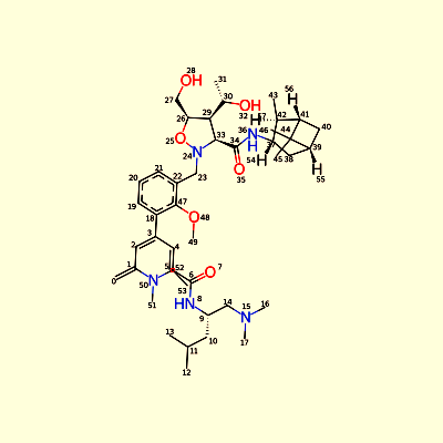 C=C(/C=C(\C=C\C(=O)N[C@@H](CC(C)C)CN(C)C)c1cccc(CN2O[C@@H](CO)[C@@H]([C@H](C)O)[C@H]2C(=O)N[C@H]2C[C@H]3C[C@@H]([C@@H]2C)C3(C)C)c1OC)N(C)CC